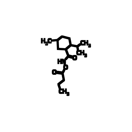 CCCC(=O)ONC(=O)C1CC(C)CCC1C(C)C